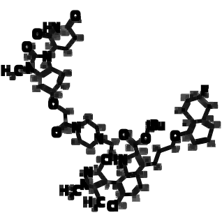 Cc1nn(C)c(C)c1-c1c(Cl)ccc2c(CCCOc3cccc4cc(F)ccc34)c(C(=O)OC(C)(C)C)n(CCN3CCN(C(=O)COc4ccc5c(c4)n(C)c(=O)n5C4CCC(=O)NC4=O)CC3)c12